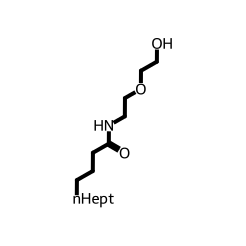 CCCCCCCCCCC(=O)NCCOCCO